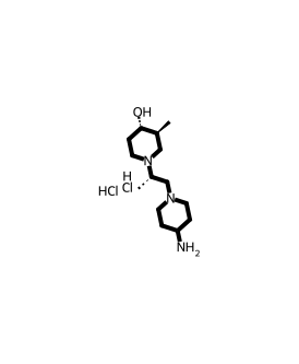 C[C@H]1CN([C@@H](C)CN2CCC(N)CC2)CC[C@@H]1O.Cl.Cl